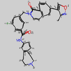 Cc1nocc1-c1ccc2c(=O)n(Cc3cc(F)cc(C(=O)Nc4ccc5c(c4)CCN(C)C5)c3)ccc2c1